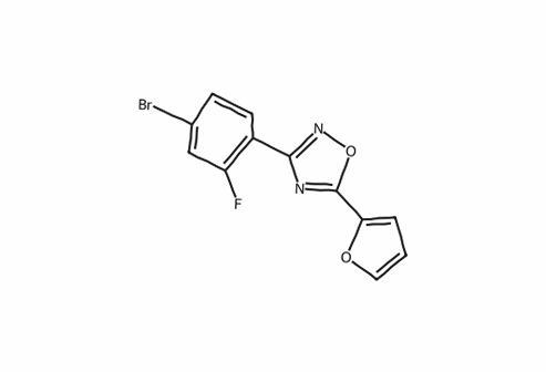 Fc1cc(Br)ccc1-c1noc(-c2ccco2)n1